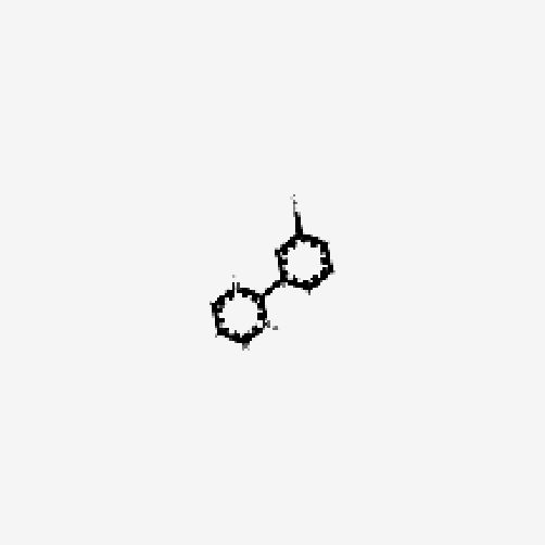 Fc1cccc(-c2n[c]ccn2)c1